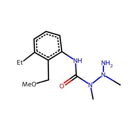 CCc1cccc(NC(=O)N(C)N(C)N)c1COC